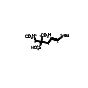 CCCCC=CCC(CC(=O)O)(C(=O)O)S(=O)(=O)O